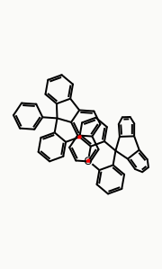 c1ccc(C2(c3ccccc3-c3cccc4c3Oc3ccccc3C43c4ccccc4-c4ccccc43)c3ccccc3-c3ccc4ccccc4c32)cc1